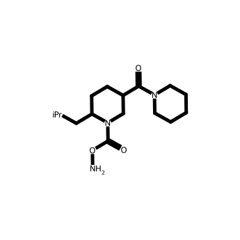 CC(C)CC1CCC(C(=O)N2CCCCC2)CN1C(=O)ON